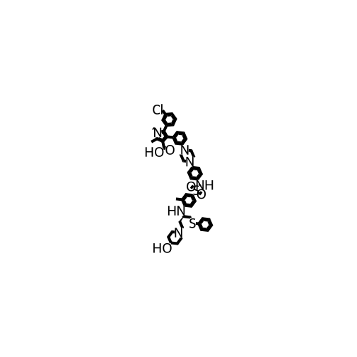 Cc1cc(S(=O)(=O)Nc2ccc(N3CCN(c4cccc(-c5c(C(=O)O)c(C)n(C)c5-c5cccc(Cl)c5)c4)CC3)cc2)ccc1N[C@H](CCN1CCC(O)CC1)CSc1ccccc1